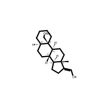 COC[C@]12CCCC[C@@H]1CC[C@@H]1[C@@H]2CC[C@]2(C)C(=CC#N)CC[C@@H]12